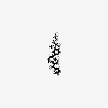 O=C(Nc1cccc(-c2ccnc3c(C(=O)c4cccs4)cnn23)c1)OCCCl